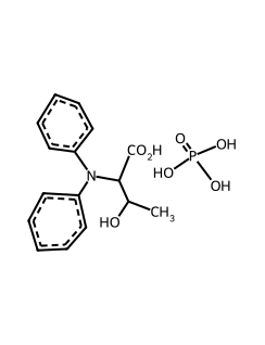 CC(O)C(C(=O)O)N(c1ccccc1)c1ccccc1.O=P(O)(O)O